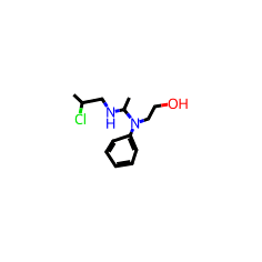 CC(Cl)CNC(C)N(CCO)c1ccccc1